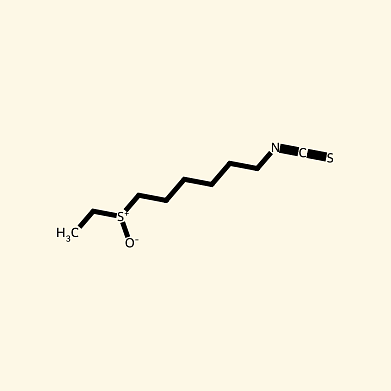 CC[S+]([O-])CCCCCCN=C=S